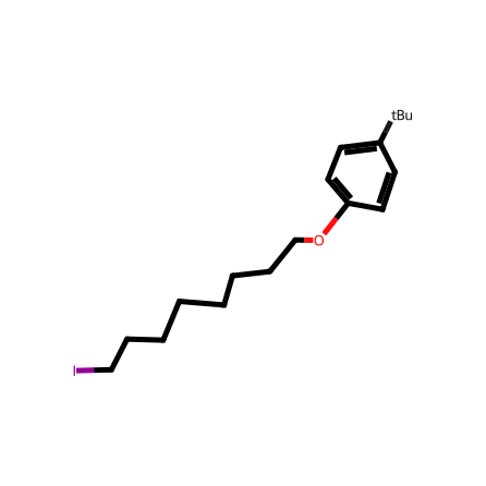 CC(C)(C)c1ccc(OCCCCCCCCI)cc1